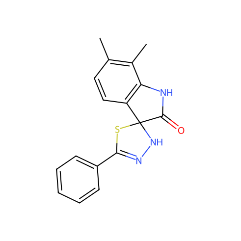 Cc1ccc2c(c1C)NC(=O)C21NN=C(c2ccccc2)S1